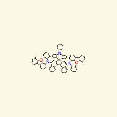 Cc1ccccc1N(c1cc2c(c3ccccc13)-c1c(cc(N(c3ccccc3C)c3cccc4c3oc3c(C)cccc34)c3ccccc13)C21c2ccccc2N(c2ccccc2)c2ccccc21)c1cccc2c1oc1c(C)cccc12